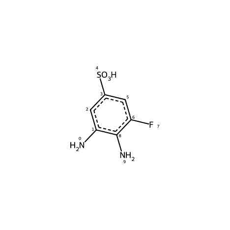 Nc1cc(S(=O)(=O)O)cc(F)c1N